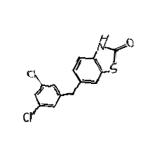 O=c1[nH]c2ccc(Cc3cc(Cl)cc(Cl)c3)cc2s1